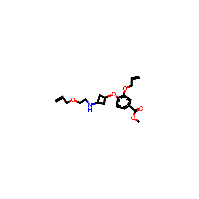 C=CCOCCNC1CC(Oc2ccc(C(=O)OC)cc2OCC=C)C1